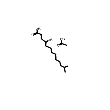 CC(=O)O.CC(C)CCCCCCCC(O)CCC(=O)O